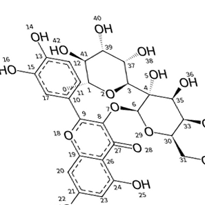 C[C@H]1O[C@H]([C@]2(O)[C@H](Oc3c(-c4ccc(O)c(O)c4)oc4cc(O)cc(O)c4c3=O)O[C@H](CO)[C@H](O)[C@@H]2O)[C@@H](O)[C@@H](O)[C@@H]1O